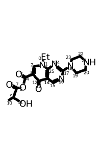 CCn1cc(C(=O)OC(=O)C(C)O)c(=O)c2cnc(N3CCNCC3)nc21